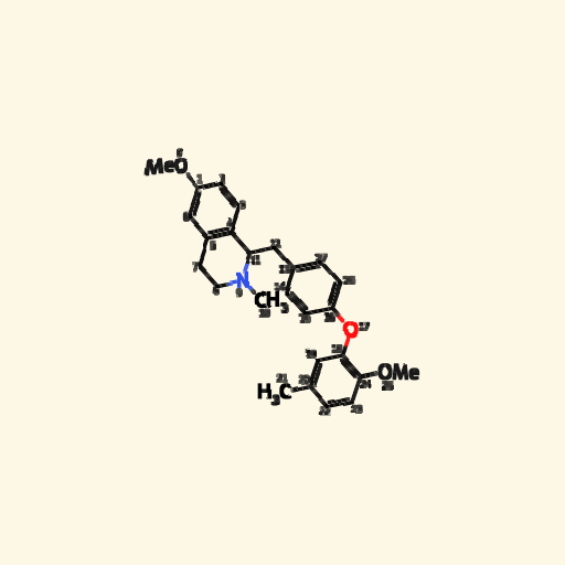 COc1ccc2c(c1)CCN(C)C2Cc1ccc(Oc2cc(C)ccc2OC)cc1